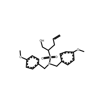 C=CCC(CO)S(=O)(=O)N(Cc1ccc(OC)cc1)Cc1ccc(OC)cc1